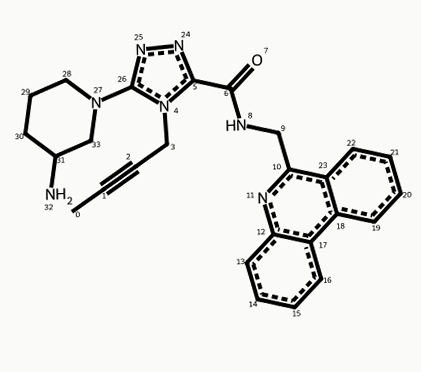 CC#CCn1c(C(=O)NCc2nc3ccccc3c3ccccc23)nnc1N1CCCC(N)C1